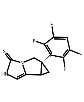 Fc1cc(F)c(F)c([C@]23CC2c2c[nH]c(=S)n2C3)c1F